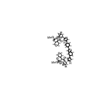 COC(=O)N[C@H](C(=O)N1[C@@H]2C[C@@H]2C[C@H]1c1ncc(-c2ccc(-c3cc4cc(-c5c[nH]c([C@@H]6C[C@H]7C[C@@]7(C)N6C(=O)[C@@H](NC(=O)OC)C6CCOCC6)n5)ccc4o3)cc2)[nH]1)C1CCOCC1